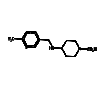 O=C(O)N1CCC(NCc2ccc(C(F)(F)F)nc2)CC1